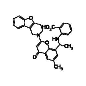 Cc1cc(C(C)Nc2ccccc2C(=O)O)c2oc(N3CCc4oc5ccccc5c4C3)cc(=O)c2c1